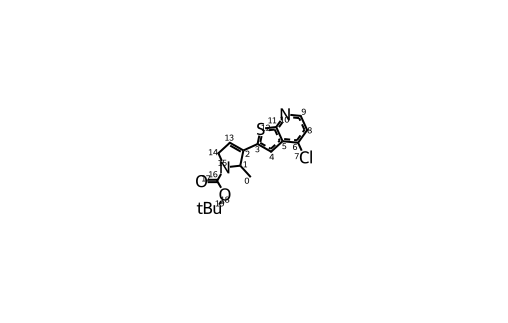 CC1C(c2cc3c(Cl)ccnc3s2)=CCN1C(=O)OC(C)(C)C